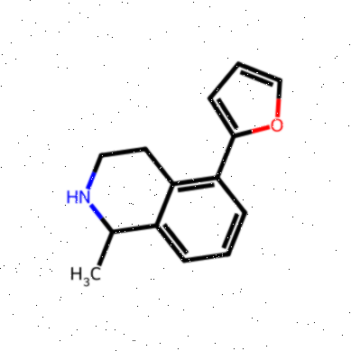 CC1NCCc2c(-c3ccco3)cccc21